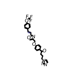 O=C(CCCn1ccnn1)c1ccc(OCc2coc(/C=C/c3ccc(OC(F)(F)F)cc3)n2)cc1